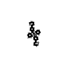 c1ccc(-c2ccc(N3c4ccccc4O[Si]34Oc3ccccc3N4c3ccc(-c4ccccn4)cc3)cc2)nc1